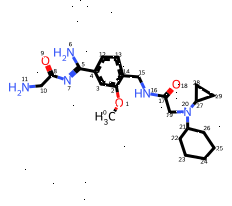 COc1cc(C(N)=NC(=O)CN)ccc1CNC(=O)CN(C1CCCCC1)C1CC1